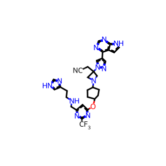 N#CCC1(n2cc(-c3ncnc4[nH]ccc34)cn2)CN(C2CCC(Oc3cc(CNCCc4c[nH]cn4)nc(C(F)(F)F)n3)CC2)C1